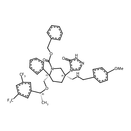 COc1ccc(CNC[C@]2(n3cn[nH]c3=O)CC[C@@](CO[C@H](C)c3cc(C(F)(F)F)cc(C(F)(F)F)c3)(c3ccccc3)N(C(=O)OCc3ccccc3)C2)cc1